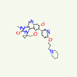 COc1cc2ncc3c4c2c(c1-c1ccc(OCCCN2CCCCC2)nc1)OCC1(CC1)n4c(=O)n3C